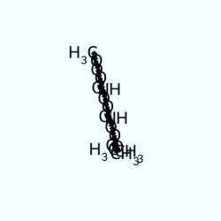 CCCOCCOCCOCCC(=O)NCCOCCOCCC(=O)NCCOCCOCCC(=O)OC(C)(C)C